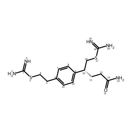 N=C(N)SCCc1ccc([C@@H](CCC(N)=O)CSC(=N)N)cc1